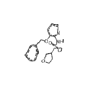 O=S(=O)(Nc1ncccc1OCc1ccccc1)C1CCOC1